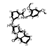 COc1ccc(NC(=O)c2cccc(Nc3nn4c(=O)c5ccccc5nc4s3)c2)c(OC)c1